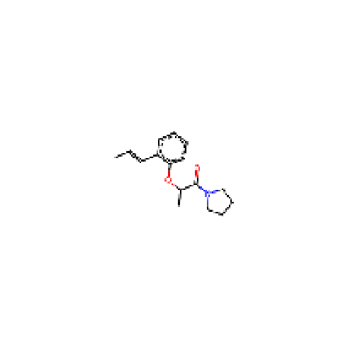 C/C=C/c1ccccc1OC(C)C(=O)N1CCCC1